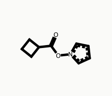 O=C(On1cccc1)C1CCC1